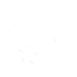 CC(C)(C)c1ccc(C2(Sc3ncc(C(=O)O)s3)N=NN=N2)cc1